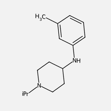 Cc1cccc(NC2CCN(C(C)C)CC2)c1